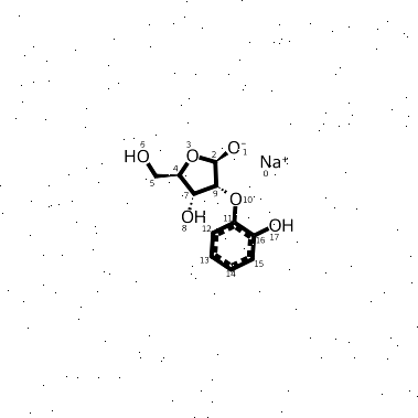 [Na+].[O-][C@@H]1O[C@H](CO)[C@@H](O)[C@H]1Oc1ccccc1O